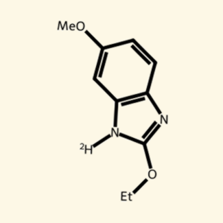 [2H]n1c(OCC)nc2ccc(OC)cc21